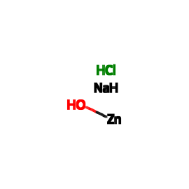 Cl.[NaH].[OH][Zn]